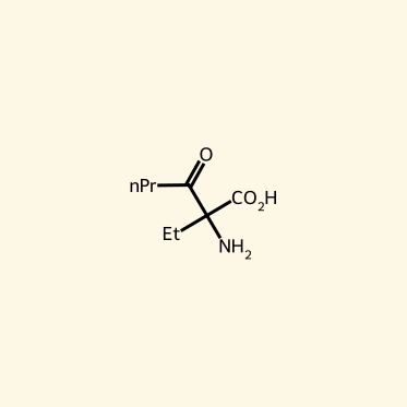 CCCC(=O)C(N)(CC)C(=O)O